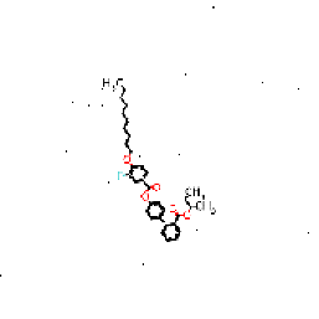 CCCCCCCCCCOc1ccc(C(=O)Oc2ccc(-c3ccccc3C(=O)O[C@H](C)CC)cc2)cc1F